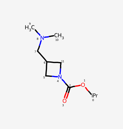 CC(C)OC(=O)N1CC(CN(C)C)C1